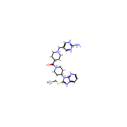 CCSc1nc2cccnc2n1C1CCN(C(=O)C2CCN(Cc3cnc(N)nc3)CC2)CC1